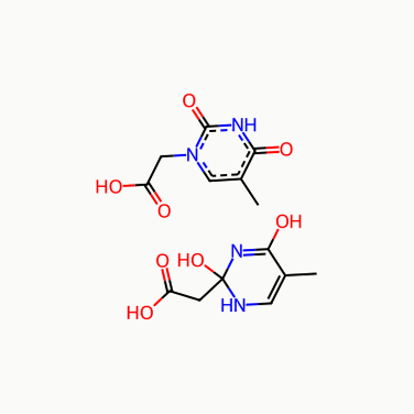 CC1=CNC(O)(CC(=O)O)N=C1O.Cc1cn(CC(=O)O)c(=O)[nH]c1=O